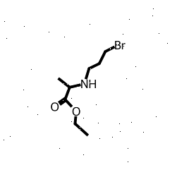 CCOC(=O)C(C)NCCCBr